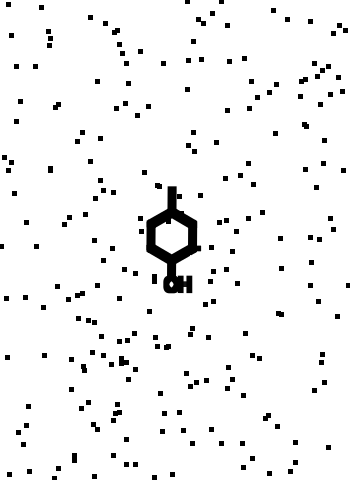 CC1C[CH]C(O)CC1